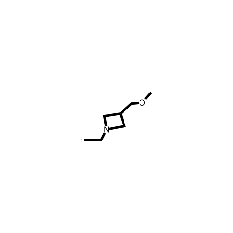 [CH2]CN1CC(COC)C1